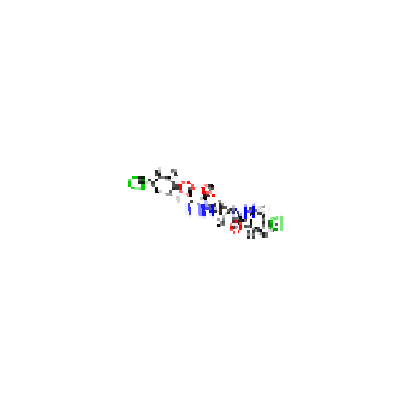 O=C(COc1ccc(Cl)cc1)NC12CC(NC(=O)c3ccc(Cl)cc3)(C1)C2